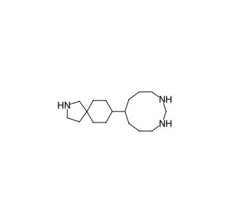 C1CNCNCCCC(C2CCC3(CCNC3)CC2)C1